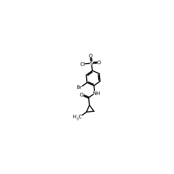 CC1CC1C(=O)Nc1ccc(S(=O)(=O)Cl)cc1Br